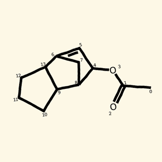 CC(=O)OC1C=C2CC1C1CCCC21